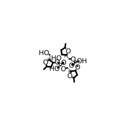 CC1CC(O)[C@@H](COP(=O)(O)OC2CC(C)O[C@@H]2COP(=O)(O)OC2CC(C)O[C@@H]2CO)O1